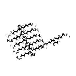 CCCCCCN(CCCCCC)C(=S)[S-].CCCCCCN(CCCCCC)C(=S)[S-].CCCCCCN(CCCCCC)C(=S)[S-].CCCCCCN(CCCCCC)C(=S)[S-].CCCCCCN(CCCCCC)C(=S)[S-].CCCCCCN(CCCCCC)C(=S)[S-].[Mo+6].[S-2]